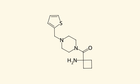 NC1(C(=O)N2CCN(Cc3cccs3)CC2)CCC1